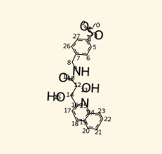 CS(=O)(=O)c1ccc(CNC(=O)[C@H](O)[C@@H](O)c2ccc3ccccc3n2)cc1